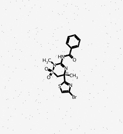 CN1C(NC(=O)c2ccccc2)=N[C@](C)(c2nc(Br)cs2)CS1(=O)=O